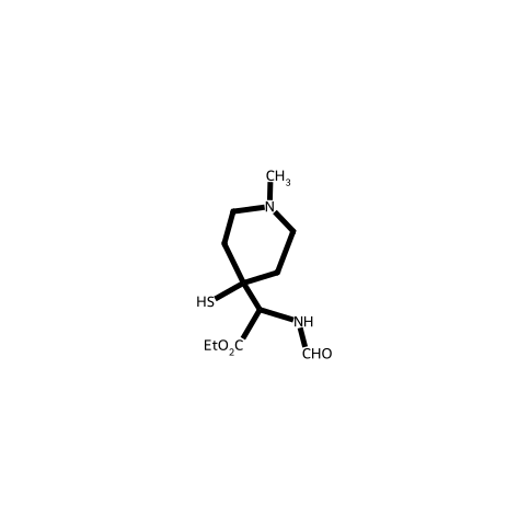 CCOC(=O)C(NC=O)C1(S)CCN(C)CC1